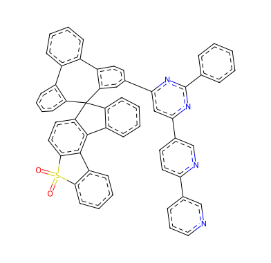 O=S1(=O)c2ccccc2-c2c1ccc1c2-c2ccccc2C12c1ccccc1-c1ccccc1-c1ccc(-c3cc(-c4ccc(-c5cccnc5)nc4)nc(-c4ccccc4)n3)cc12